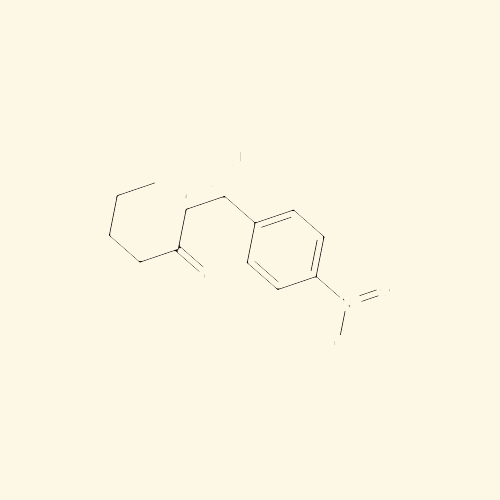 O=C1CCCC[C@@H]1[C@H](O)c1ccc([N+](=O)[O-])cc1